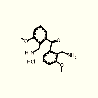 COc1cccc(C(=O)c2cccc(OC)c2CN)c1CN.Cl